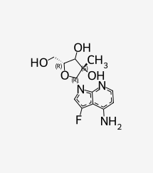 C[C@]1(O)C(O)[C@@H](CO)O[C@H]1n1cc(F)c2c(N)ccnc21